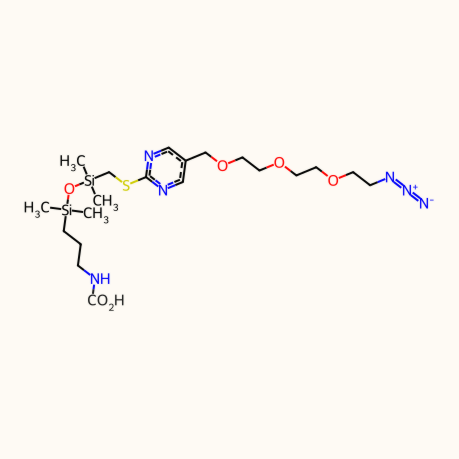 C[Si](C)(CCCNC(=O)O)O[Si](C)(C)CSc1ncc(COCCOCCOCCN=[N+]=[N-])cn1